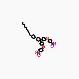 CCCCCCCCCC[C@H]1CC[C@H](C2CCC(c3ccc(Oc4ccc([N+](=O)[O-])cc4)cc3)(c3ccc(Oc4ccc([N+](=O)[O-])cc4)cc3)CC2)CC1